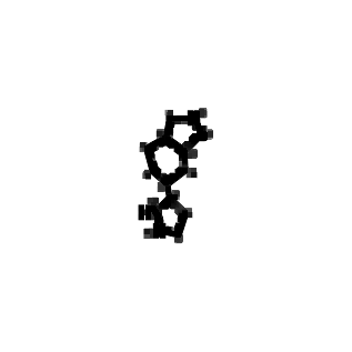 c1cc(-c2ccc3cnsc3c2)[nH]n1